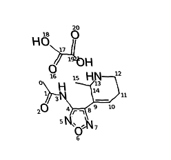 CC(=O)Nc1nonc1C1=CCCNC1C.O=C(O)C(=O)O